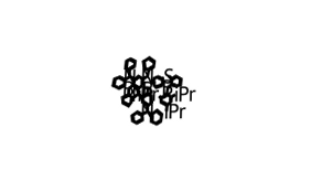 CC(C)c1cc(C(C)C)c(B2c3ccccc3Sc3cc4c(cc32)B2c3ccc(N(c5ccccc5)c5ccccc5)cc3N3c5ccccc5B5c6ccccc6N(c6ccccc6)c6cc(c2c3c65)N4c2ccccc2)c(C(C)C)c1